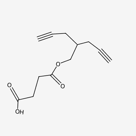 C#CCC(CC#C)COC(=O)CCC(=O)O